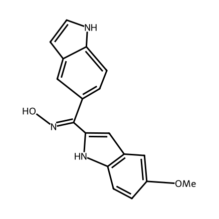 COc1ccc2[nH]c(C(=NO)c3ccc4[nH]ccc4c3)cc2c1